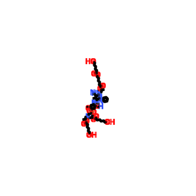 COc1cc(S(=O)(=O)CCN(CC(C)OC(=O)CCCCCO)CC(C)OC(=O)CCCCCO)c(OC)cc1/N=N/c1c(Nc2ccccc2)nc(NCC(C)OC(=O)CCCCCOC(=O)CCCCCO)c(C#N)c1C